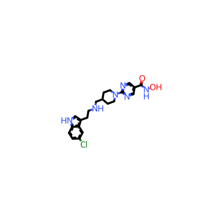 O=C(NO)c1cnc(N2CCC(CNCCc3c[nH]c4ccc(Cl)cc34)CC2)nc1